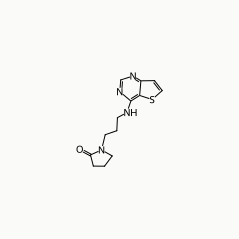 O=C1CCCN1CCCNc1ncnc2ccsc12